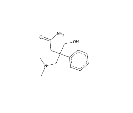 CN(C)CC(CO)(CC(N)=O)c1ccccc1